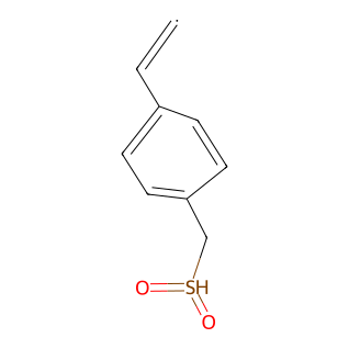 [CH]=Cc1ccc(C[SH](=O)=O)cc1